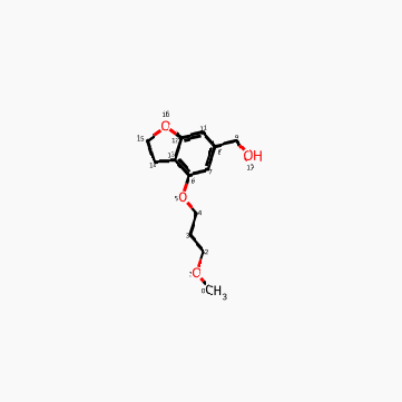 COCCCOc1cc(CO)cc2c1CCO2